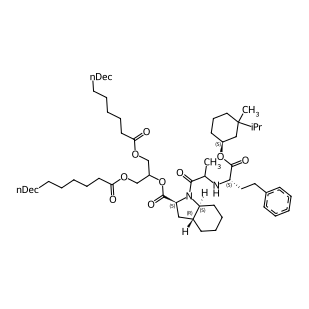 CCCCCCCCCCCCCCCC(=O)OCC(COC(=O)CCCCCCCCCCCCCCC)OC(=O)[C@@H]1C[C@H]2CCCC[C@@H]2N1C(=O)C(C)N[C@@H](CCc1ccccc1)C(=O)O[C@H]1CCCC(C)(C(C)C)C1